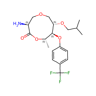 CC(C)CO[C@H]1COC[C@H](N)C(=O)O[C@@H](C)[C@@H]1Oc1ccc(C(F)(F)F)cc1